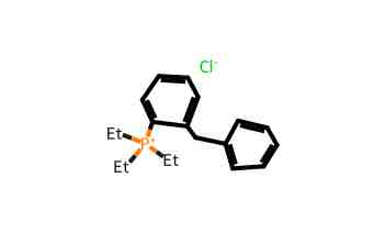 CC[P+](CC)(CC)c1ccccc1Cc1ccccc1.[Cl-]